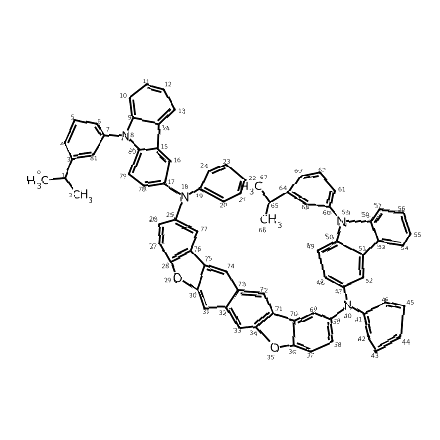 CC(C)c1cccc(-n2c3ccccc3c3cc(N(c4ccccc4)c4ccc5oc6cc7cc8oc9ccc(N(c%10ccccc%10)c%10ccc%11c(c%10)c%10ccccc%10n%11-c%10cccc(C(C)C)c%10)cc9c8cc7cc6c5c4)ccc32)c1